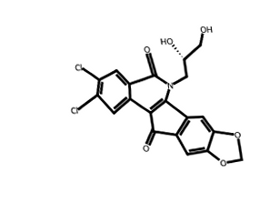 O=C1c2cc3c(cc2-c2c1c1cc(Cl)c(Cl)cc1c(=O)n2C[C@H](O)CO)OCO3